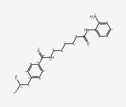 Nc1ccccc1NC(=O)CCCCCNC(=O)c1ccc(CC(F)F)cc1